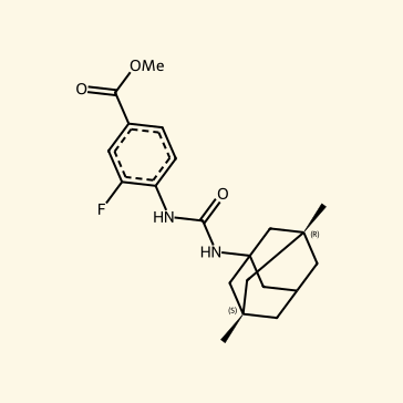 COC(=O)c1ccc(NC(=O)NC23CC4C[C@@](C)(C2)C[C@](C)(C4)C3)c(F)c1